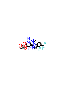 Cc1nc(N[C@H](C)c2cccc(C(F)F)c2F)c2cc(O[C@H]3CCOC3)c(=O)[nH]c2n1